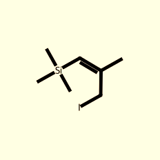 CC(=C[Si](C)(C)C)CI